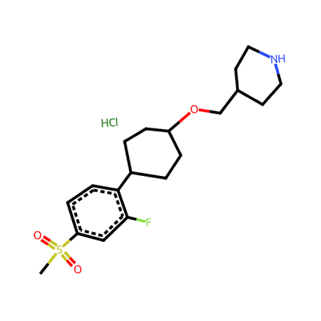 CS(=O)(=O)c1ccc(C2CCC(OCC3CCNCC3)CC2)c(F)c1.Cl